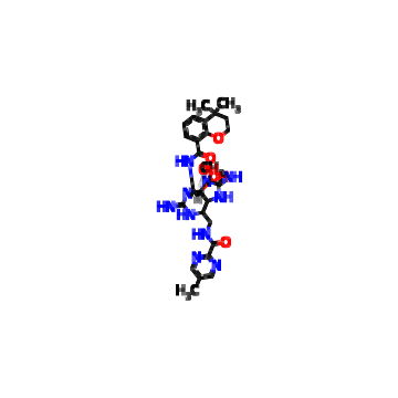 Cc1cnc(C(=O)NCC2NC(=N)N3CC(NC(=O)c4cccc5c4OCCC5(C)C)[C@](C)(O)[C@]34C2NC(=N)N4O)nc1